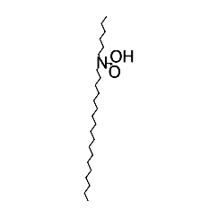 CCCCCCCCCCCCCCCCCCN(CCCCCC)C(=O)O